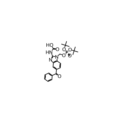 CC(C)(C)OP(=O)(OCn1c(NC(=O)O)nc2cc(C(=O)c3ccccc3)ccc21)OC(C)(C)C